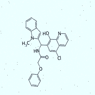 Cn1c(C(NC(=O)COc2ccccc2)c2cc(Cl)c3cccnc3c2O)cc2ccccc21